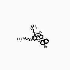 COCCOc1cc(OCCOC)c2c(c1)O[C@@]1(c3ccc(Br)cc3)[C@H](c3ccccc3)CC(=O)[C@@]21O